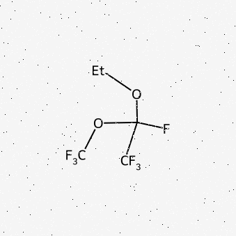 CCOC(F)(OC(F)(F)F)C(F)(F)F